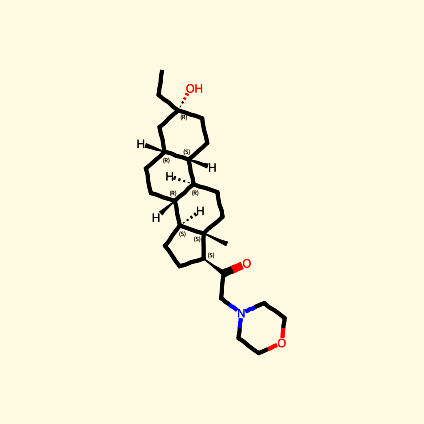 CC[C@@]1(O)CC[C@H]2[C@H](CC[C@@H]3[C@@H]2CC[C@]2(C)[C@@H](C(=O)CN4CCOCC4)CC[C@@H]32)C1